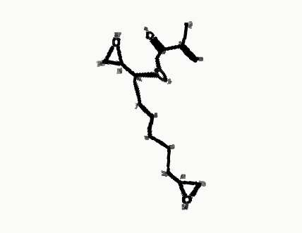 C=C(C)C(=O)OC(CCCCCC1CO1)C1CO1